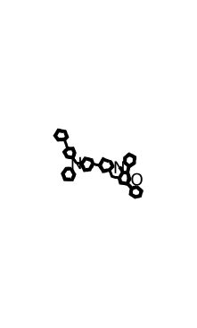 c1ccc(-c2ccc(N(c3ccccc3)c3ccc(-c4ccc5c(c4)Cc4cc6c7ccccc7oc6c6c7ccccc7n-5c46)cc3)cc2)cc1